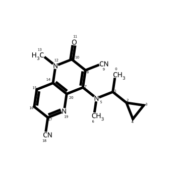 CC(C1CC1)N(C)c1c(C#N)c(=O)n(C)c2ccc(C#N)nc12